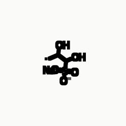 [CH2]C(O)C(O)S(=O)(=O)[O-].[Na+]